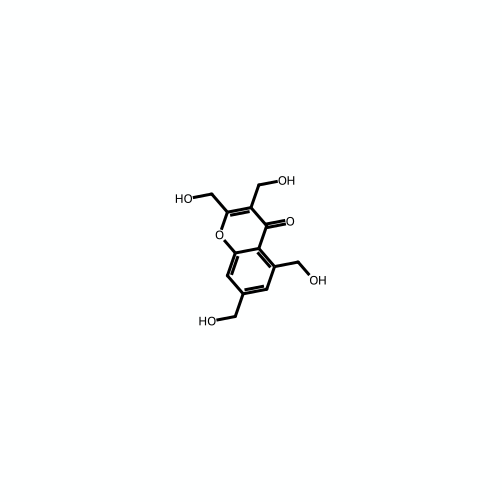 O=c1c(CO)c(CO)oc2cc(CO)cc(CO)c12